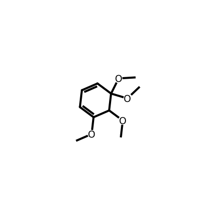 COC1=CC=CC(OC)(OC)C1OC